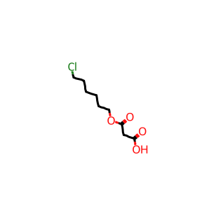 O=C(O)CC(=O)OCCCCCCCl